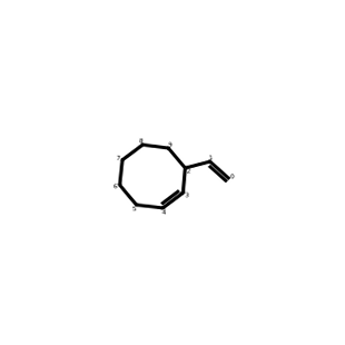 C=CC1C=CCCCCC1